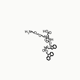 CN(Cc1cc2ccccc2n1COC(=O)N[C@@H](CCC(=O)O)C(=O)NCCOCCOCCN)N(C)C(=O)OCC1c2ccccc2-c2ccccc21